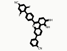 N#Cc1cccc(-c2ccc3c4c(c(-c5ccc(-c6c(F)cc(C#N)cc6F)cc5)nc3c2)C=CC(=N)C4=N)c1